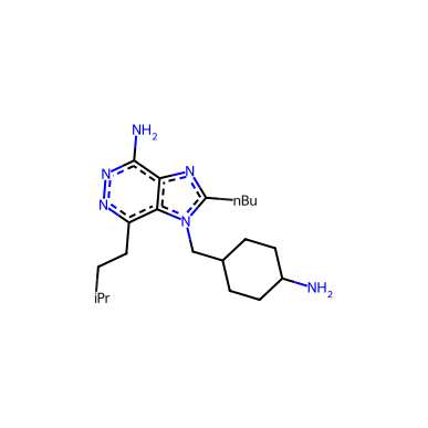 CCCCc1nc2c(N)nnc(CCC(C)C)c2n1CC1CCC(N)CC1